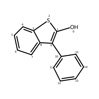 Oc1sc2ccccc2c1-c1ccccc1